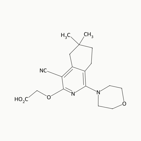 CC1(C)CCc2c(N3CCOCC3)nc(OCC(=O)O)c(C#N)c2C1